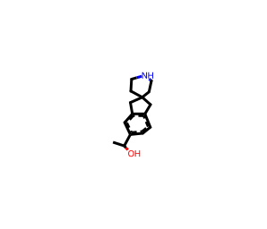 CC(O)c1ccc2c(c1)CC1(CCNCC1)C2